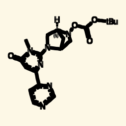 Cn1c(N2C[C@@H]3CC2CN3OC(=O)OC(C)(C)C)nc(-c2ccncn2)cc1=O